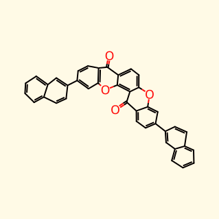 O=c1c2ccc(-c3ccc4ccccc4c3)cc2oc2c1ccc1oc3cc(-c4ccc5ccccc5c4)ccc3c(=O)c12